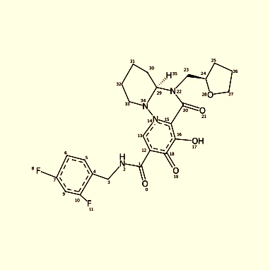 O=C(NCc1ccc(F)cc1F)c1cn2c(c(O)c1=O)C(=O)N(C[C@H]1CCCO1)[C@@H]1CCCCN12